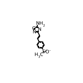 C[S+]([O-])c1ccc(C=Cc2noc(N)n2)cc1